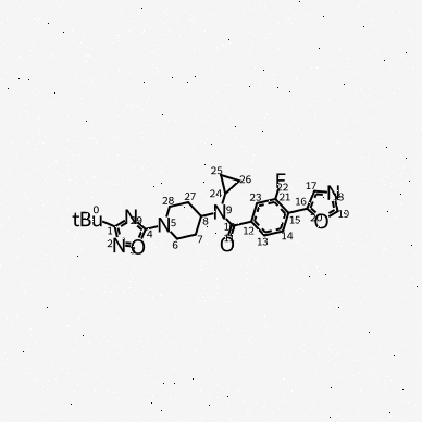 CC(C)(C)c1noc(N2CCC(N(C(=O)c3ccc(-c4cnco4)c(F)c3)C3CC3)CC2)n1